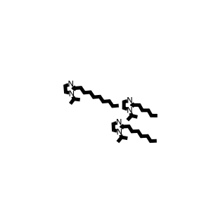 CCCCCC1=NCCN1C(C)C.CCCCCCCC1=NCCN1C(C)C.CCCCCCCCCC1=NCCN1C(C)C